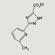 CCOC(=O)c1nc(-c2cccc(C)n2)n[nH]1